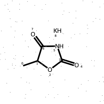 CC1OC(=O)NC1=O.[KH]